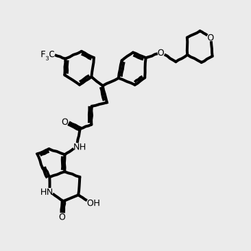 O=C(/C=C/C=C(/c1ccc(OCC2CCOCC2)cc1)c1ccc(C(F)(F)F)cc1)Nc1cccc2c1CC(O)C(=O)N2